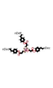 CCCCCCCCCCCCc1ccc(OC(=O)CCOP(=S)(SCCC(=O)Oc2ccc(CCCCCCCCCCCC)cc2)SCCC(=O)Oc2ccc(CCCCCCCCCCCC)cc2)cc1